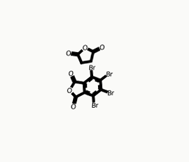 O=C1CCC(=O)O1.O=C1OC(=O)c2c(Br)c(Br)c(Br)c(Br)c21